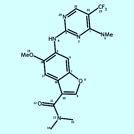 CNc1nc(Nc2cc3occ(C(=O)N(C)C)c3cc2OC)ncc1C(F)(F)F